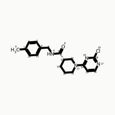 Cc1ccc(CNC(=O)[C@H]2CCCN(c3ccnc(Cl)n3)C2)cc1